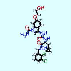 NC(=O)n1cc(NC(=O)N[C@@H](CC2CC2)C(=O)NCc2cccc(Cl)c2F)c2ccc(OCCO)cc21